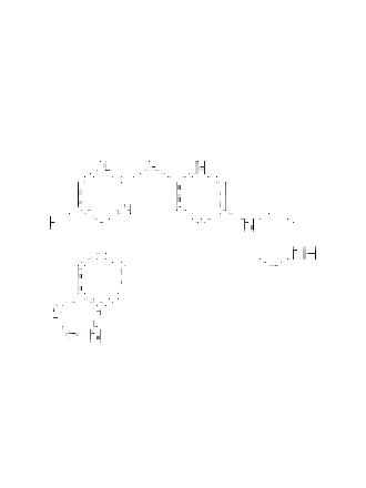 Fc1cnc(Nc2ccc(N3CCNCC3)cn2)nc1-c1ccc2ncsc2c1